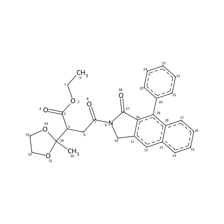 CCOC(=O)C(CC(=O)N1Cc2cc3ccccc3c(-c3ccccc3)c2C1=O)C1(C)OCCO1